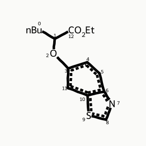 CCCCC(Oc1ccc2ncsc2c1)C(=O)OCC